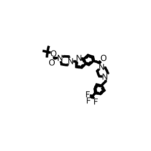 CC(C)(C)OC(=O)N1CCN(c2ccc3cc(C(=O)N4CCN(Cc5ccc(C(F)(F)F)cc5)CC4)ccc3n2)CC1